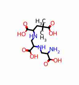 CC(C)(CC(NCC(NCC(N)C(=O)O)C(=O)O)C(=O)O)C(=O)O